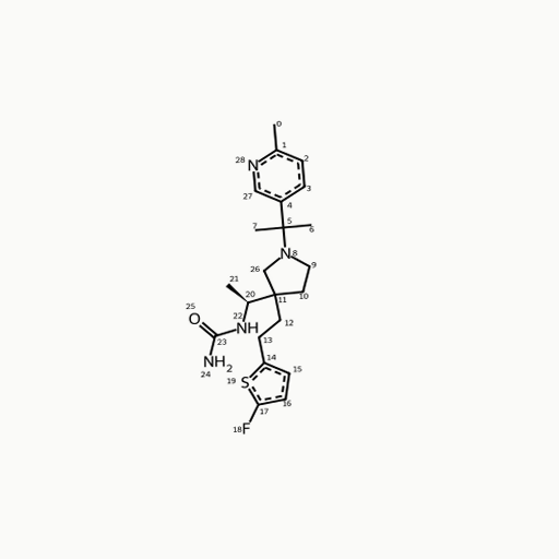 Cc1ccc(C(C)(C)N2CCC(CCc3ccc(F)s3)([C@H](C)NC(N)=O)C2)cn1